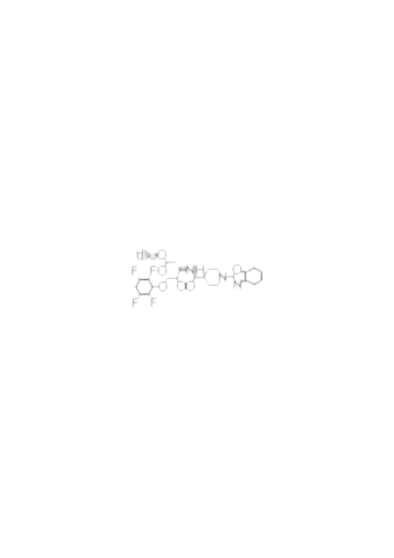 CC(C)(C)OC(=O)C[C@H](NC(=O)C1CCN(c2nc3ccccc3o2)CC1)C(=O)COc1c(F)c(F)cc(F)c1F